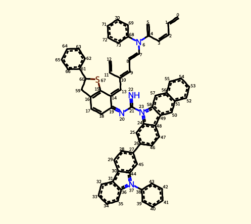 C=C/C=C\C(=C)N(/C=C/C=C(C=C)/C=C1\C2=C(C=C\C1=N\C(=N)n1c3cc(-c4ccc5c6ccccc6n(-c6ccccc6)c5c4)ccc3c3cc4ccccc4cc31)CC(c1ccccc1)S2)c1ccccc1